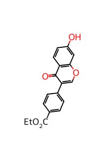 CCOC(=O)c1ccc(-c2coc3cc(O)ccc3c2=O)cc1